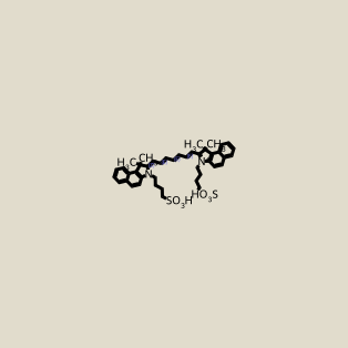 CC1(C)C(/C=C/C=C/C=C/C=C2\N(CCCCS(=O)(=O)O)c3ccc4ccccc4c3C2(C)C)=[N+](CCCCS(=O)(=O)O)c2ccc3ccccc3c21